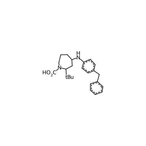 CC(C)(C)C1CC(Nc2ccc(Cc3ccccc3)cc2)CCCN1C(=O)O